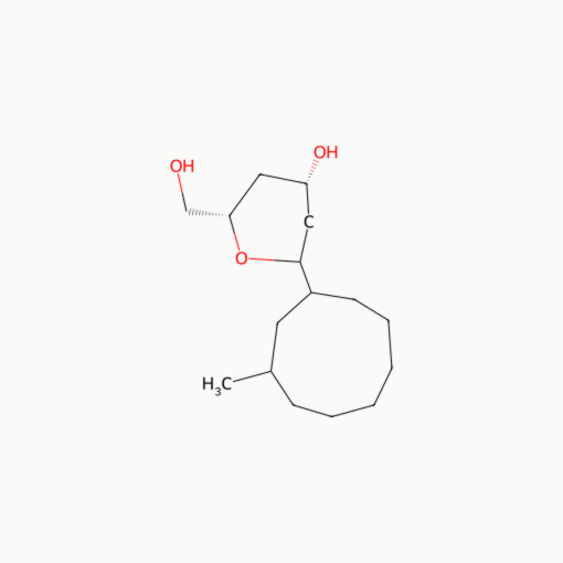 CC1CCCCCCC(C2C[C@@H](O)C[C@@H](CO)O2)C1